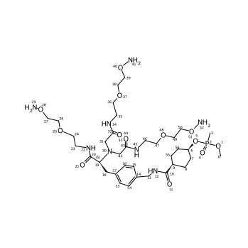 COP(C)(=O)O[C@H]1CC[C@@H](C(=O)NCc2ccc(C[C@@H](C(=O)NCCOCCON)N(CC(=O)NCCOCCON)CC(=O)NCCOCCON)cc2)CC1